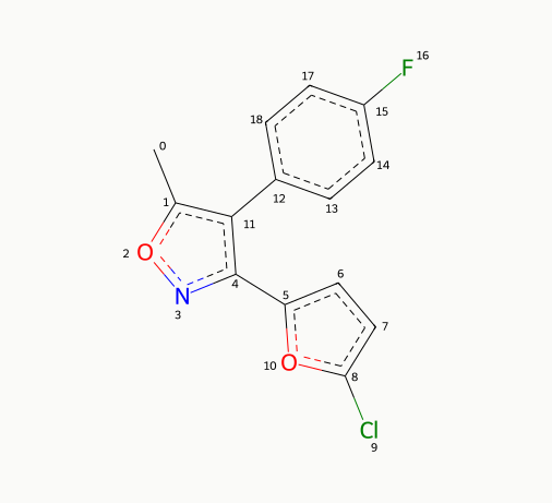 Cc1onc(-c2ccc(Cl)o2)c1-c1ccc(F)cc1